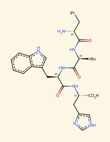 CCCC[C@H](NC(=O)[C@H](N)CC(C)C)C(=O)N[C@H](Cc1c[nH]c2ccccc12)C(=O)N[C@@H](Cc1c[nH]cn1)C(=O)O